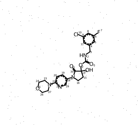 O=C(NCc1cc(F)cc(Cl)c1)OC1(O)CCN(c2ccc(N3CCOCC3)nc2)C1=O